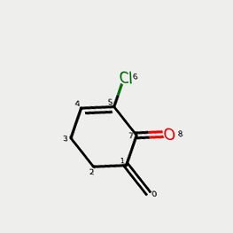 C=C1CCC=C(Cl)C1=O